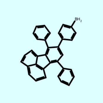 Bc1ccc(-c2cc(-c3ccccc3)c3c(c2-c2ccccc2)-c2cccc4cccc-3c24)cc1